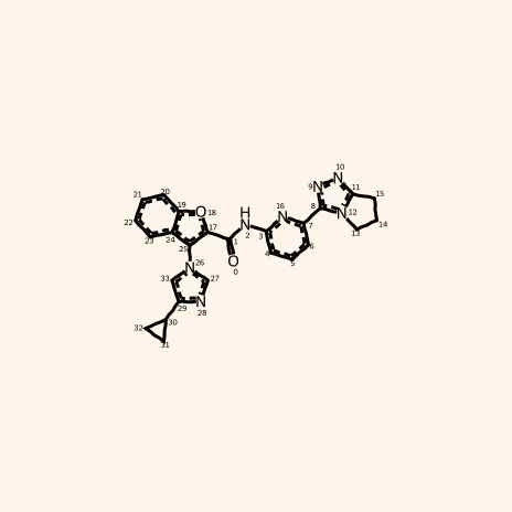 O=C(Nc1cccc(-c2nnc3n2CCC3)n1)c1oc2ccccc2c1-n1cnc(C2CC2)c1